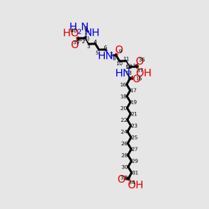 NN[C@@H](CCCCNC(=O)CC[C@H](NC(=O)CCCCCCCCCCCCCCCCC(=O)O)C(=O)O)C(=O)O